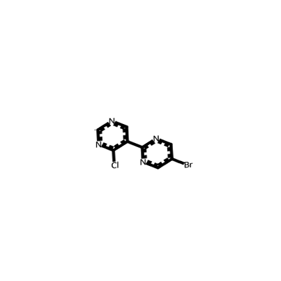 Clc1n[c]ncc1-c1ncc(Br)cn1